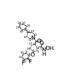 O=C(NO)[C@H]1CC(Oc2cccc(F)c2F)CCC1C(=O)N1CC=C(c2ccccc2)CC1